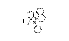 C[C@H](c1ccccc1)[C@@]1(c2ccccc2)CCCc2ccccc21